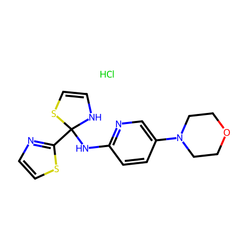 C1=CSC(Nc2ccc(N3CCOCC3)cn2)(c2nccs2)N1.Cl